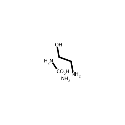 N.NC(=O)O.NCCO